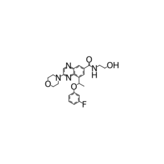 CC(Oc1cccc(F)c1)c1cc(C(=O)NCCO)cc2ncc(N3CCOCC3)nc12